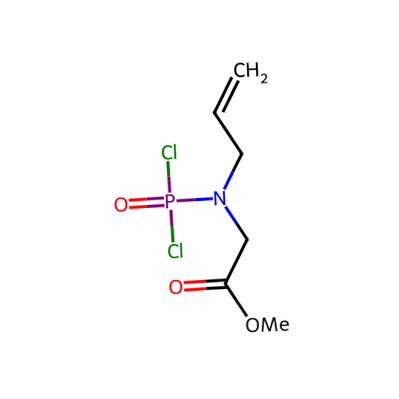 C=CCN(CC(=O)OC)P(=O)(Cl)Cl